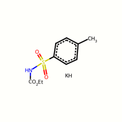 CCOC(=O)NS(=O)(=O)c1ccc(C)cc1.[KH]